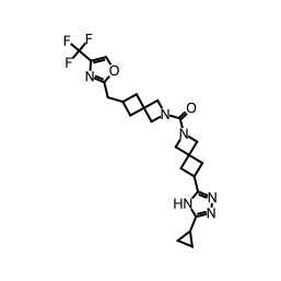 O=C(N1CC2(CC(Cc3nc(C(F)(F)F)co3)C2)C1)N1CC2(CC(c3nnc(C4CC4)[nH]3)C2)C1